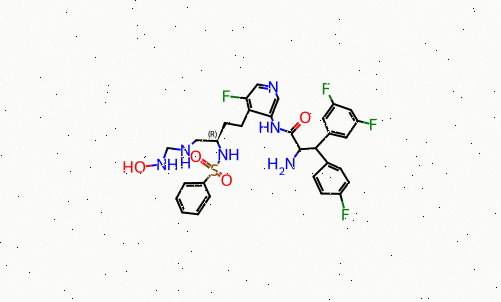 NC(C(=O)Nc1cncc(F)c1CC[C@H](CNCNO)NS(=O)(=O)c1ccccc1)C(c1ccc(F)cc1)c1cc(F)cc(F)c1